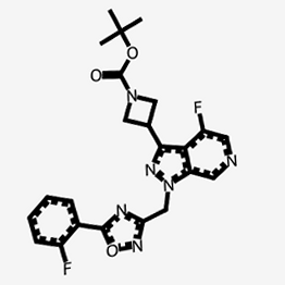 CC(C)(C)OC(=O)N1CC(c2nn(Cc3noc(-c4ccccc4F)n3)c3cncc(F)c23)C1